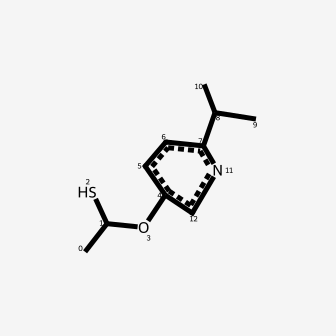 CC(S)Oc1ccc(C(C)C)nc1